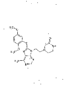 COc1ccc(OC)c(Sc2nc3c(N)ncnc3n2CCN2CCNC(=O)C2)c1